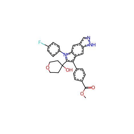 COC(=O)c1ccc(-c2c(C3(O)CCOCC3)n(-c3ccc(F)cc3)c3cc4cn[nH]c4cc23)cc1